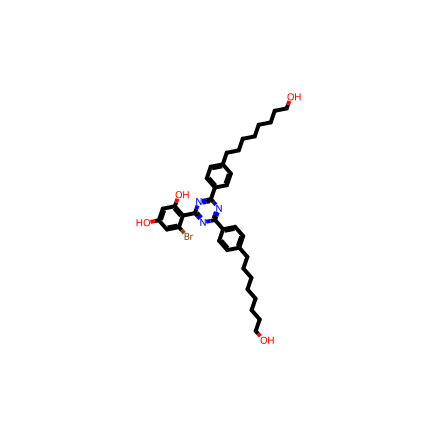 OCCCCCCCCc1ccc(-c2nc(-c3ccc(CCCCCCCCO)cc3)nc(-c3c(O)cc(O)cc3Br)n2)cc1